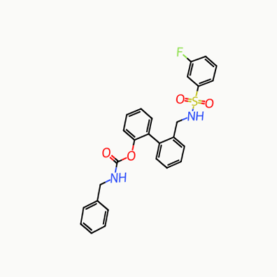 O=C(NCc1ccccc1)Oc1ccccc1-c1ccccc1CNS(=O)(=O)c1cccc(F)c1